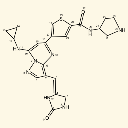 O=C1NC/C(=C/c2cnn3c(NC4CC4)cc(-c4csc(C(=O)NC5CCNC5)c4)nc23)N1